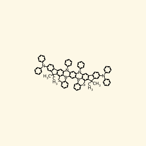 CC1(C)c2cc(N(c3ccccc3)c3ccccc3)ccc2-c2cc3c4c(c21)Sc1ccccc1B4c1cc2c(cc1N3c1ccccc1)N(c1ccccc1)c1cc3c(c4c1B2c1ccccc1S4)C(C)(C)c1cc(N(c2ccccc2)c2ccccc2)ccc1-3